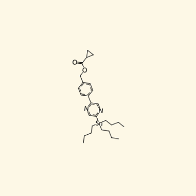 CCC[CH2][Sn]([CH2]CCC)([CH2]CCC)[c]1cnc(-c2ccc(COC(=O)C3CC3)cc2)cn1